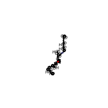 Cc1c(-c2ccc(-c3ccc4cccc(C(=O)Nc5nc6ccccc6s5)c4c3)nc2C(=O)O)cnn1CC12CC3(C)CC(C)(C1)CC(OCCN(CCS(=O)(=O)O)C(=O)OC/C=C/c1cc[c]c(NC(=O)CCNC(=O)CCCCCN4C(=O)C=CC4=O)c1)(C3)C2